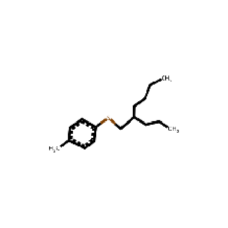 CCCCC(CCC)CSc1ccc(C)cc1